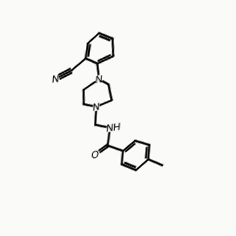 Cc1ccc(C(=O)NCN2CCN(c3ccccc3C#N)CC2)cc1